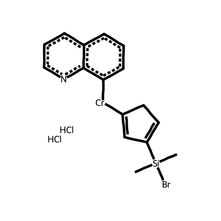 C[Si](C)(Br)C1=CC[C]([Cr][c]2cccc3cccnc23)=C1.Cl.Cl